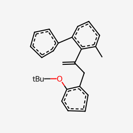 C=C(Cc1ccccc1OC(C)(C)C)c1c(C)cccc1-c1ccccc1